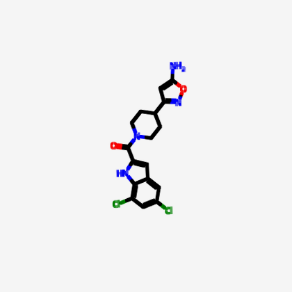 Nc1cc(C2CCN(C(=O)c3cc4cc(Cl)cc(Cl)c4[nH]3)CC2)no1